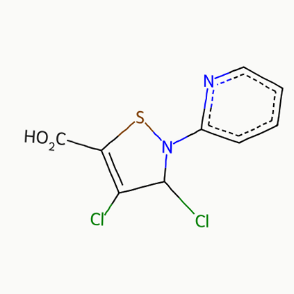 O=C(O)C1=C(Cl)C(Cl)N(c2ccccn2)S1